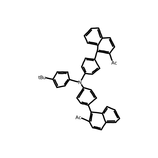 CC(=O)c1ccc2ccccc2c1-c1ccc(N(c2ccc(-c3c(C(C)=O)ccc4ccccc34)cc2)c2ccc(C(C)(C)C)cc2)cc1